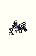 Cc1cc(C)c(Nc2nc(N(c3nc4ccccc4s3)c3c(C)cc(C)cc3C)cc(C)c2/N=N/c2c(C#N)c(-c3cccc([N+](=O)[O-])c3)nn2-c2nc3ccccc3s2)c(C)c1